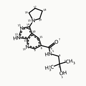 CC(C)(O)CNC(=O)c1cnc2[nH]nc(N3CCCC3)c2c1